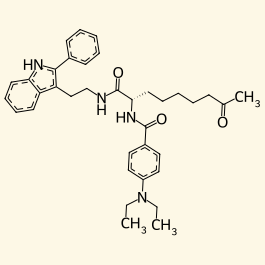 CCN(CC)c1ccc(C(=O)N[C@@H](CCCCCC(C)=O)C(=O)NCCc2c(-c3ccccc3)[nH]c3ccccc23)cc1